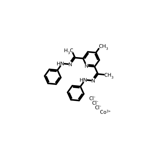 CC(=NNc1ccccc1)c1cc(C)cc(C(C)=NNc2ccccc2)n1.[Cl-].[Cl-].[Cl-].[Co+3]